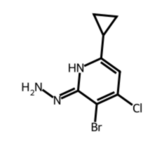 NN=c1[nH]c(C2CC2)cc(Cl)c1Br